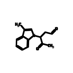 CC(=O)C(CC=O)n1cc(C)c2ccccc21